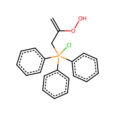 C=C(CP(Cl)(c1ccccc1)(c1ccccc1)c1ccccc1)OO